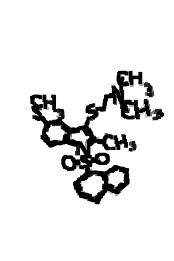 CSc1ccc2c(c1)c(SCCN(C)C)c(C)n2S(=O)(=O)c1cccc2ccccc12